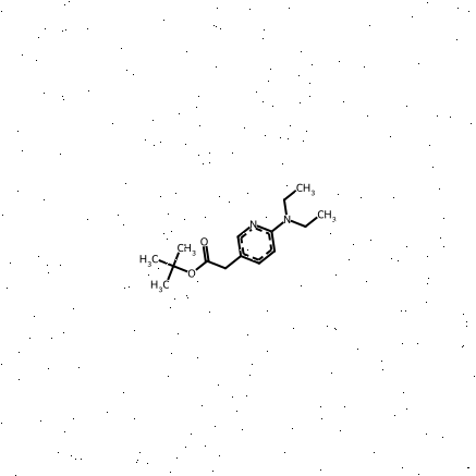 CCN(CC)c1ccc(CC(=O)OC(C)(C)C)cn1